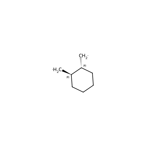 [CH2][C@@H]1CCCC[C@H]1[CH2]